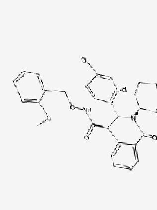 COc1ccccc1CONC(=O)[C@@H]1c2ccccc2C(=O)N([C@H]2CCCC[C@@H]2O)[C@H]1c1ccc(Cl)cc1Cl